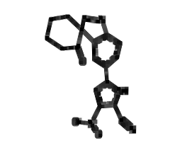 N#Cc1[nH]c(-c2ccc3c(c2)C2(C=N3)CCCCC2=O)cc1[N+](=O)[O-]